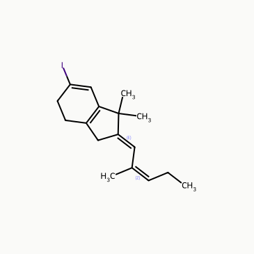 CC/C=C(C)\C=C1/CC2=C(C=C(I)CC2)C1(C)C